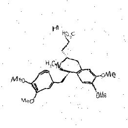 COc1ccc(C[C@@H]2c3cc(OC)c(OC)cc3C[C@@H](CCC(=O)O)N2C)cc1OC.I